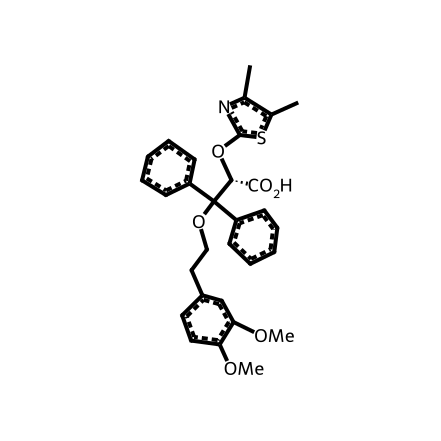 COc1ccc(CCOC(c2ccccc2)(c2ccccc2)[C@H](Oc2nc(C)c(C)s2)C(=O)O)cc1OC